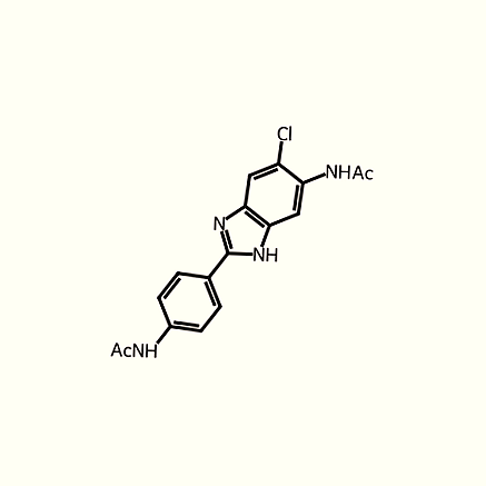 CC(=O)Nc1ccc(-c2nc3cc(Cl)c(NC(C)=O)cc3[nH]2)cc1